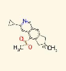 C[C@@H]1Cc2cc3cnc(C4CC4)cc3c(S(C)(=O)=O)c2C1